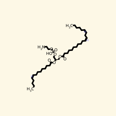 CCCC/C=C\CCCCCCCC(=O)O[C@H](COC(=O)CCCCCCCCC/C=C\C/C=C\CCCCC)COP(=O)(O)OCCN